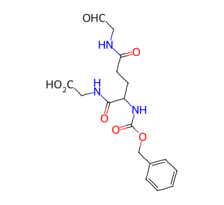 O=CCNC(=O)CCC(NC(=O)OCc1ccccc1)C(=O)NCC(=O)O